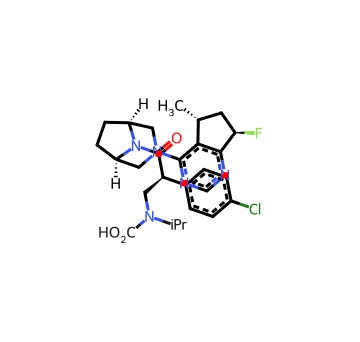 CC(C)N(C[C@@H](C(=O)N1[C@@H]2CC[C@H]1CN(c1ncnc3c1[C@H](C)C[C@H]3F)C2)c1ccc(Cl)cc1)C(=O)O